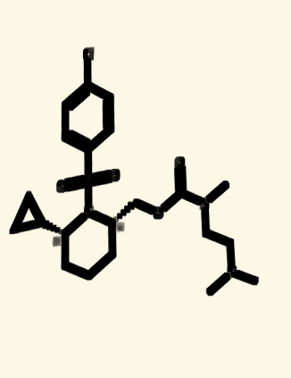 CN(C)CCN(C)C(=O)OC[C@@H]1CCC[C@H](C2CC2)N1S(=O)(=O)c1ccc(Cl)cc1